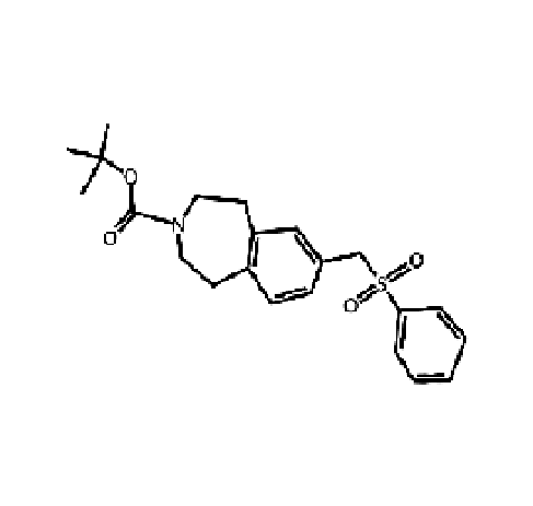 CC(C)(C)OC(=O)N1CCc2ccc(CS(=O)(=O)c3ccccc3)cc2CC1